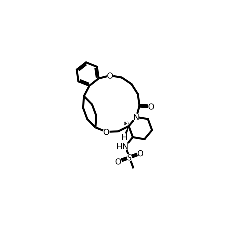 CS(=O)(=O)NC1CCCN2C(=O)CCCOc3ccccc3C3CCC(CC3)OC[C@@H]12